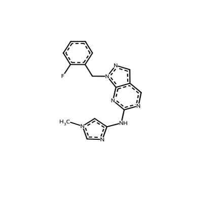 Cn1cnc(Nc2ncc3cnn(Cc4ccccc4F)c3n2)c1